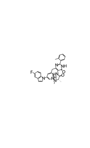 CN[C@@H](C)C(=O)Nc1c(Cc2cncc(-n3ccc4cc(F)ccc43)c2)nc(-c2ccccc2C)[nH]c1=O